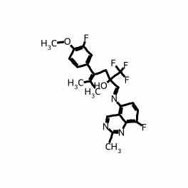 COc1ccc(C(CC(O)(C=Nc2ccc(F)c3nc(C)ncc23)C(F)(F)F)=C(C)C)cc1F